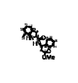 COC(=O)CC(NC(=O)C1Cc2cccc(C)c2N1)c1ccccc1